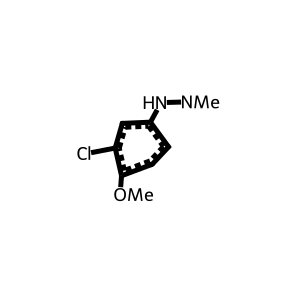 CNNc1ccc(OC)c(Cl)c1